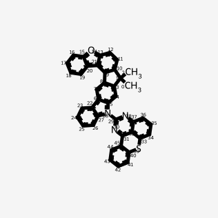 CC1(C)c2cc3c(cc2-c2c1ccc1oc4ccccc4c21)c1ccccc1n3-c1nc2c3c(cccc3n1)Sc1ccccc1-2